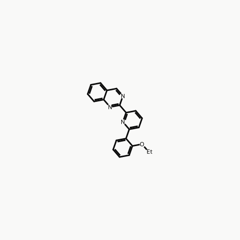 CCOc1ccccc1-c1cccc(-c2ncc3ccccc3n2)n1